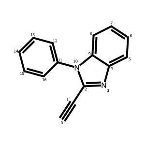 C#Cc1nc2ccccc2n1-c1ccccc1